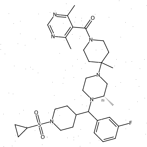 Cc1ncnc(C)c1C(=O)N1CCC(C)(N2CCN(C(c3cccc(F)c3)C3CCN(S(=O)(=O)C4CC4)CC3)[C@@H](C)C2)CC1